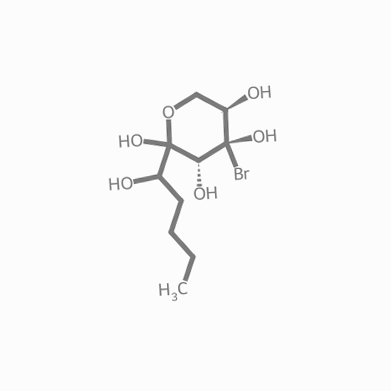 CCCCC(O)C1(O)OC[C@@H](O)[C@](O)(Br)[C@@H]1O